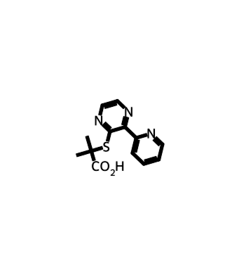 CC(C)(Sc1nccnc1-c1ccccn1)C(=O)O